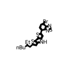 CCCCC(CC)Cc1cc2[nH]c3cc(-c4ccc(Br)c5nsnc45)sc3c2s1